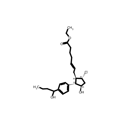 CCCC(O)c1ccc([C@@H]2[C@@H](CC=CCCCC(=O)OCC)[C@H](Cl)C[C@H]2O)cc1